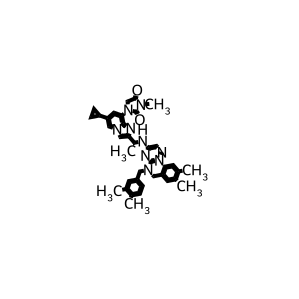 Cc1ccc(CN(Cc2ccc(C)c(C)c2)c2nncc(N[C@H](C)c3cn4cc(C5CC5)cc(N5CC(=O)N(C)C5=O)c4n3)n2)cc1C